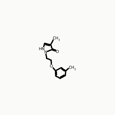 Cc1cccc(OCCn2[nH]cc(C)c2=O)c1